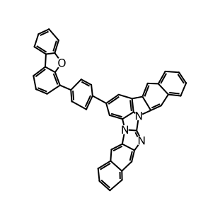 c1ccc2cc3c(cc2c1)nc1n3c2cc(-c3ccc(-c4cccc5c4oc4ccccc45)cc3)cc3c4cc5ccccc5cc4n1c32